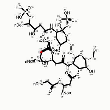 CCCCCCCCCCCC(=O)O[C@H](CCCCCCCCCCC)CC(=O)N[C@H]1[C@H](OC[C@H]2O[C@@](O)(OP(=O)(O)O)[C@H](NC(=O)C[C@@H](O)C(CCCCCCCCCC)OP(=O)(O)O)[C@@H](OC(=O)C[C@H](O)CCCCCCCCC)[C@@H]2O)O[C@H](CO)[C@@H](O)[C@@H]1OC(=O)C[C@@H](CCCCCCCCC)OC(=O)CCCCCCCCCCC